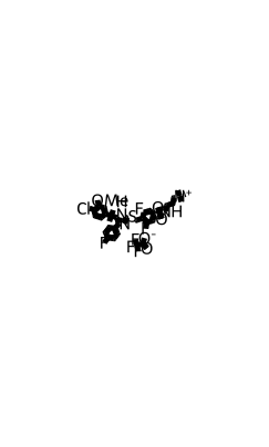 COc1cc(C(C)(C)c2[nH]c(SCc3c(F)cc(S(=O)(=O)NCCC[N+](C)(C)C)cc3F)nc2-c2ccc(F)cc2)ccc1Cl.O=C([O-])C(F)(F)F